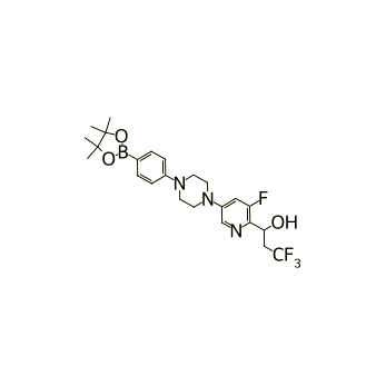 CC1(C)OB(c2ccc(N3CCN(c4cnc(C(O)CC(F)(F)F)c(F)c4)CC3)cc2)OC1(C)C